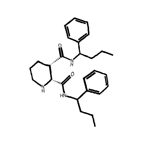 CCCC(NC(=O)[C@H]1CCCN[C@H]1C(=O)NC(CCC)c1ccccc1)c1ccccc1